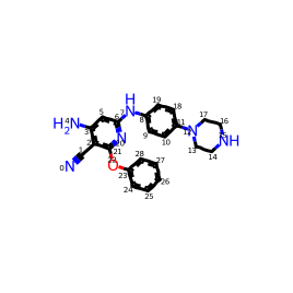 N#Cc1c(N)cc(Nc2ccc(N3CCNCC3)cc2)nc1Oc1ccccc1